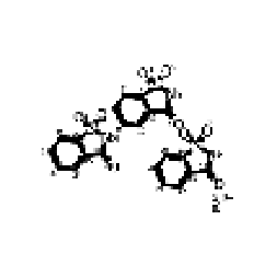 O=C1[N-]S(=O)(=O)c2ccccc21.O=C1[N-]S(=O)(=O)c2ccccc21.O=C1[N-]S(=O)(=O)c2ccccc21.[Bi+3]